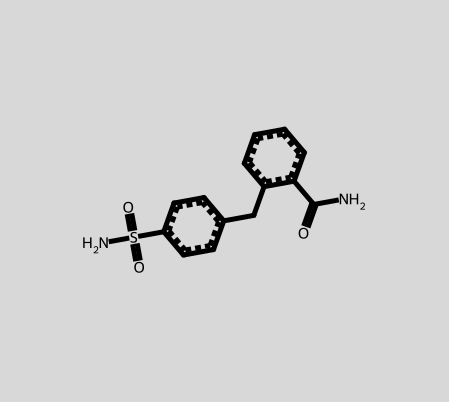 NC(=O)c1ccccc1Cc1ccc(S(N)(=O)=O)cc1